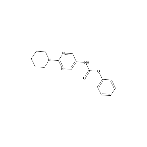 O=C(Nc1cnc(N2CCCCC2)nc1)Oc1ccccc1